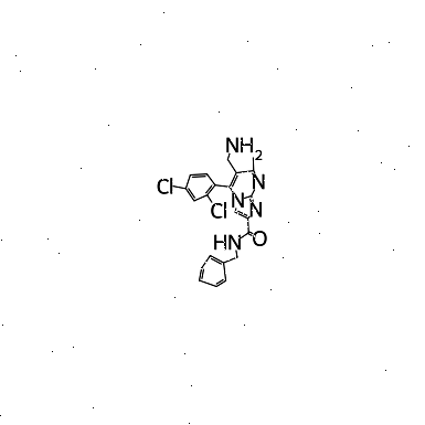 Cc1nc2nc(C(=O)NCc3ccccc3)cn2c(-c2ccc(Cl)cc2Cl)c1CN